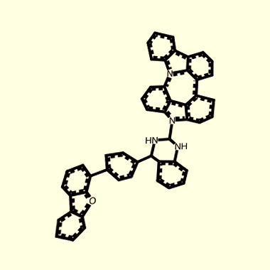 c1ccc2c(c1)NC(n1c3cccc4c5cccc6c7ccccc7n(c7cccc1c7c43)c56)NC2c1ccc(-c2cccc3c2oc2ccccc23)cc1